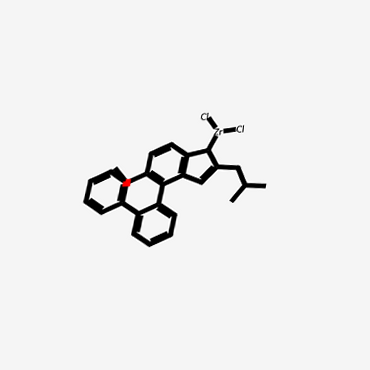 CC(C)CC1=Cc2c(ccc(C(C)C)c2-c2ccccc2-c2ccccc2)[CH]1[Zr]([Cl])[Cl]